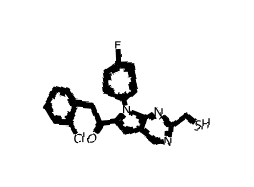 O=C(Cc1ccccc1Cl)c1cc2cnc(CS)nc2n1-c1ccc(F)cc1